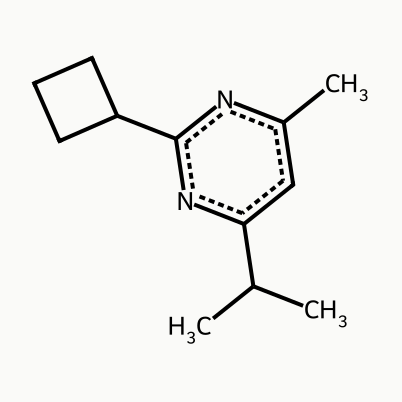 Cc1cc(C(C)C)nc(C2CCC2)n1